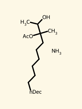 CCCCCCCCCCCCCCCCC(C)(OC(C)=O)C(C)O.N